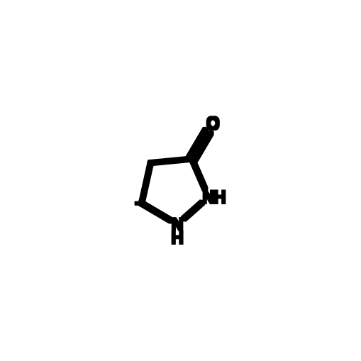 O=C1C[CH]NN1